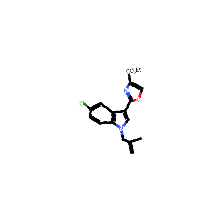 C=C(C)Cn1cc(-c2nc(C(=O)OCC)co2)c2cc(Cl)ccc21